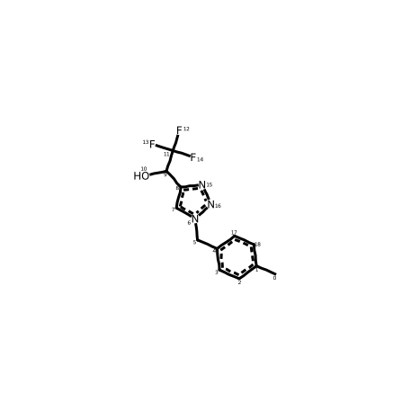 Cc1ccc(Cn2cc(C(O)C(F)(F)F)nn2)cc1